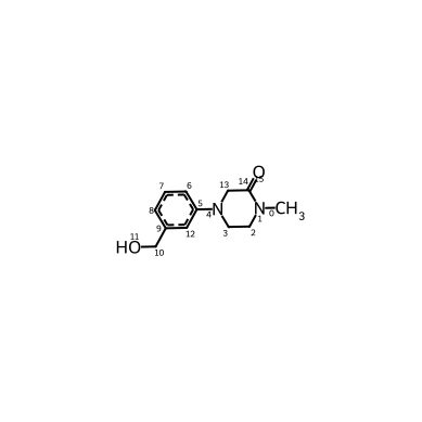 CN1CCN(c2cccc(CO)c2)CC1=O